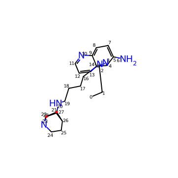 CCC1N=C2C(N)=CC=C3N=CC=CC32N1CCCCNC1CN2CCC1CC2